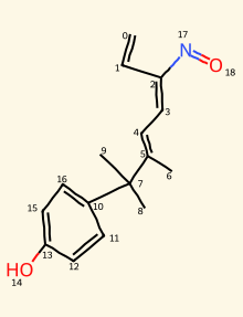 C=C/C(=C\C=C(/C)C(C)(C)c1ccc(O)cc1)N=O